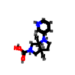 O=C(O)N1C[C@H]2CCN(c3cccnc3)[C@H]2C1